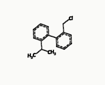 CC(C)c1ccccc1-c1ccccc1CCl